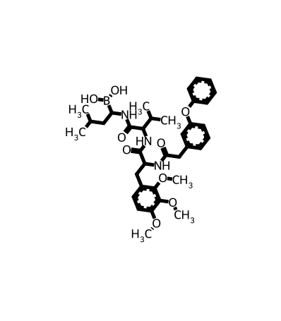 COc1ccc(CC(NC(=O)Cc2cccc(Oc3ccccc3)c2)C(=O)NC(C(=O)NC(CC(C)C)B(O)O)C(C)C)c(OC)c1OC